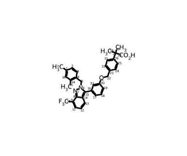 Cc1ccc(Cn2nc3c(C(F)(F)F)cccc3c2-c2cccc(OCc3ccc(C(C)(C)C(=O)O)cc3)c2)c(C)c1